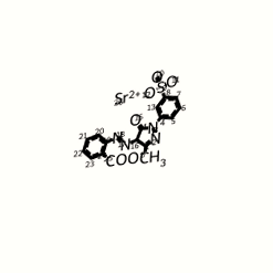 CC1=NN(c2cccc(S(=O)(=O)[O-])c2)C(=O)C1N=Nc1ccccc1C(=O)[O-].[Sr+2]